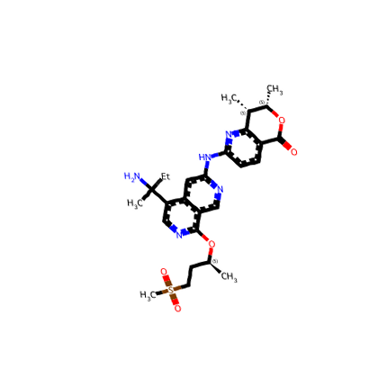 CCC(C)(N)c1cnc(O[C@@H](C)CCS(C)(=O)=O)c2cnc(Nc3ccc4c(n3)[C@H](C)[C@H](C)OC4=O)cc12